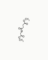 COC(=O)CC[PH](=O)CCC(=O)OC